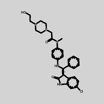 CN(C(=O)CN1CCN(CCO)CC1)c1ccc(N/C(=C2\C(=O)Nc3cc(Cl)ccc32)c2ccccc2)cc1